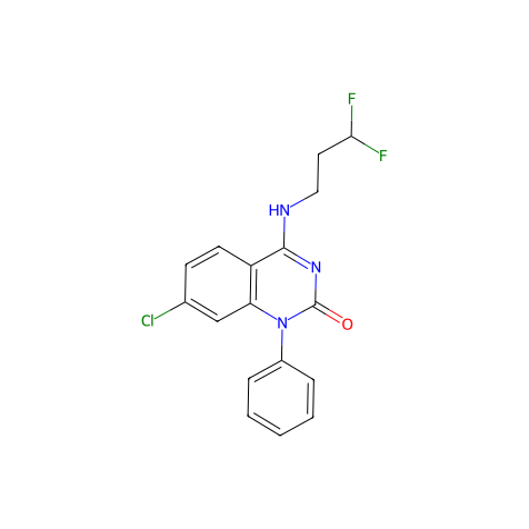 O=c1nc(NCCC(F)F)c2ccc(Cl)cc2n1-c1ccccc1